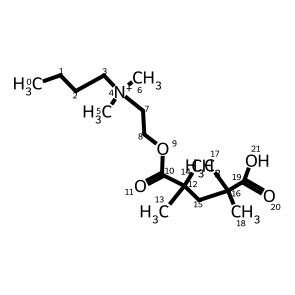 CCCC[N+](C)(C)CCOC(=O)C(C)(C)CC(C)(C)C(=O)O